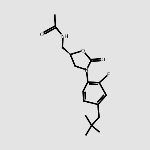 CC(=O)NC[C@@H]1CN(c2ccc(CC(C)(C)C)cc2F)C(=O)O1